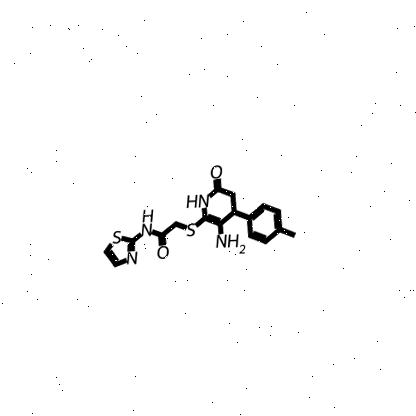 Cc1ccc(C2CC(=O)NC(SCC(=O)Nc3nccs3)=C2N)cc1